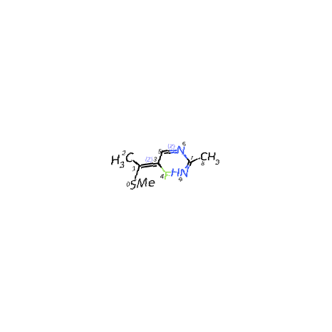 CS/C(C)=C(F)/C=N\C(C)=N